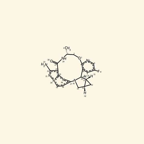 C[C@@H]1COc2ncc(F)cc2[C@H]2[C@@H]3C[C@@H]3CN2c2ccn3nc(N)c(c3n2)C(=O)N1